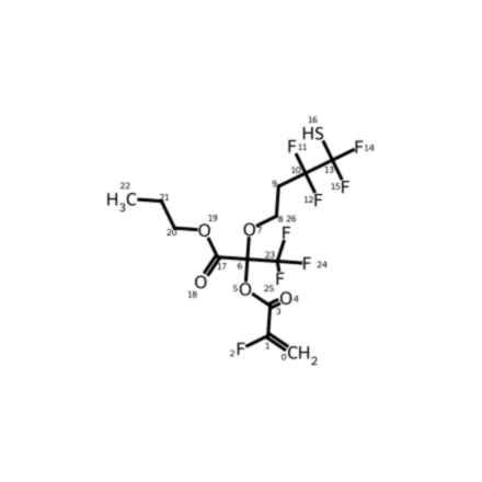 C=C(F)C(=O)OC(OCCC(F)(F)C(F)(F)S)(C(=O)OCCC)C(F)(F)F